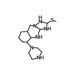 CSC1NC2NC3C(CCCC3N3CCNCC3)CN2N1